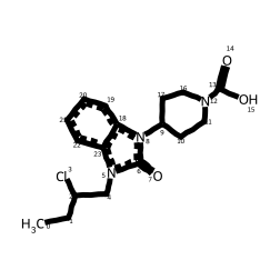 CCC(Cl)Cn1c(=O)n(C2CCN(C(=O)O)CC2)c2ccccc21